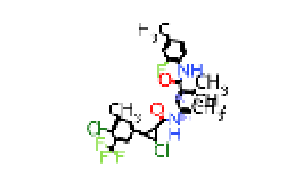 C=C(C)/C(=C\C(=C/C)NC(=O)C1C(Cl)C1c1cc(C)c(Cl)c(C(F)(F)F)c1)C(=O)Nc1ccc(C)cc1F